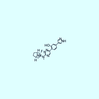 CN(c1ncc(-c2ccc(-c3cn[nH]c3)cc2O)nn1)[C@@H]1C[C@H]2CC[C@H](N2)[C@@H]1F